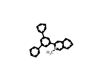 C[n+]1cc2ccccc2cc1-c1cc(-c2ccccc2)cc(-c2ccccc2)c1